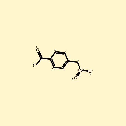 O=C(Cl)c1ccc(C[N+](=O)[O-])cc1